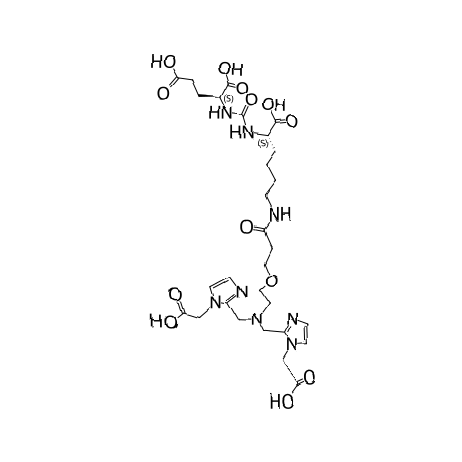 O=C(O)CC[C@H](NC(=O)N[C@@H](CCCCNC(=O)CCOCCN(Cc1nccn1CC(=O)O)Cc1nccn1CC(=O)O)C(=O)O)C(=O)O